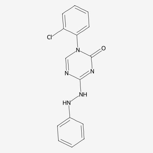 O=c1nc(NNc2ccccc2)ncn1-c1ccccc1Cl